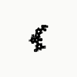 COC(=O)c1cccc(C[C@]2(C)C(=O)N(c3cc(Cl)cc(Cl)c3)c3nccn32)c1